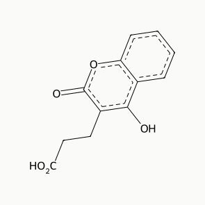 O=C(O)CCc1c(O)c2ccccc2oc1=O